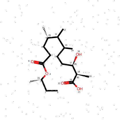 CC[C@H](C)OC(=O)CC[C@H](C)C(C)C(C)CC[C@@H](O)[C@@H](C)C(=O)O